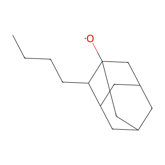 CCCCC1C2CC3CC(C2)CC1([O])C3